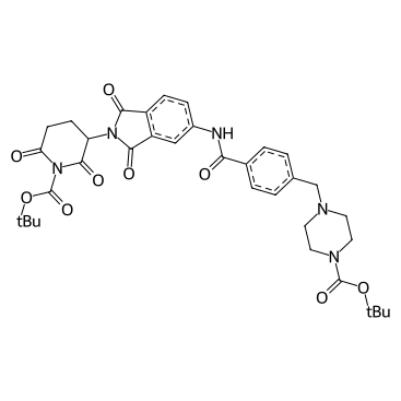 CC(C)(C)OC(=O)N1CCN(Cc2ccc(C(=O)Nc3ccc4c(c3)C(=O)N(C3CCC(=O)N(C(=O)OC(C)(C)C)C3=O)C4=O)cc2)CC1